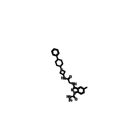 Cc1ccc2c(c1)c(NCC(=O)NC1CN(C3CCC(c4ccccc4)CC3)C1)nn2C(=O)NC(C)C